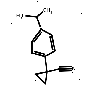 CC(C)c1ccc(C2(C#N)CC2)cc1